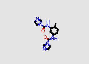 Cc1ccc(NC(=O)n2ccnc2)cc1NC(=O)n1ccnc1